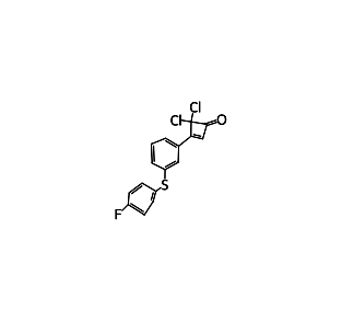 O=C1C=C(c2cccc(Sc3ccc(F)cc3)c2)C1(Cl)Cl